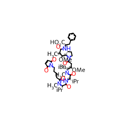 CC[C@H](C)[C@@H]([C@@H](CC(=O)N1CCC[C@H]1[C@H](OC)[C@@H](C)C(=O)N[C@@H](Cc1ccccc1)C(=O)O)OC)N(C)C(=O)[C@@H](NC(=O)C(C(C)C)N(C)C(=O)CCCCN1C(=O)C=CC1=O)C(C)C